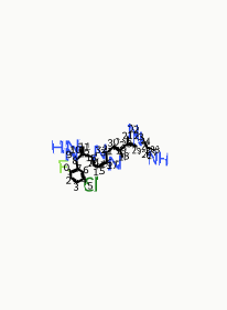 Fc1ccc(Cl)cc1-c1n[nH]cc1-c1ccc2ncc(-c3cnn(CC4CNC4)c3)cc2n1